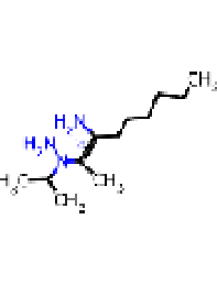 CCCCCC/C(N)=C(\C)N(N)C(C)C